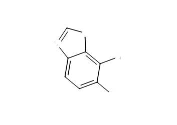 Fc1ccc2ncsc2c1Br